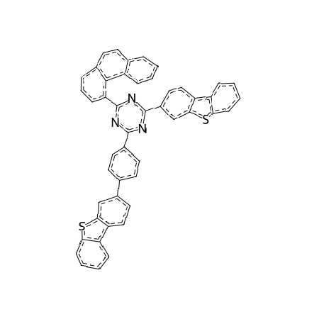 c1ccc2c(c1)ccc1cccc(-c3nc(-c4ccc(-c5ccc6c(c5)sc5ccccc56)cc4)nc(-c4ccc5c(c4)sc4ccccc45)n3)c12